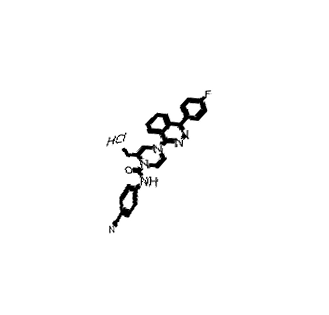 CCC1CN(c2nnc(-c3ccc(F)cc3)c3ccccc23)CCN1C(=O)Nc1ccc(C#N)cc1.Cl